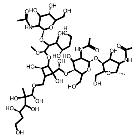 CO[C@H](OC1[C@H](O)C(CO[C@@H](O)C(C)(O)C(O)[C@H](O)CCO)C1(O)[C@@H](O)O[C@@H]1C(CO)O[C@@H](O[C@@H]2C(CO)O[C@@H](C)C(NC(C)=O)C2O)C(NC(C)=O)C1O)C(O[C@@H]1OC(CO)[C@@H](O)C(O)C1NC(C)=O)C(O)[C@H](O)CCO